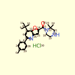 Cc1ccc(-c2cc(C(C)(C)C)c3oc(C(=O)N4CCNCC4(C)C)cc3n2)cc1.Cl